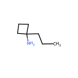 CCCC1(N)CCC1